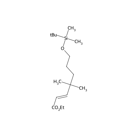 CCOC(=O)C=CC(C)(C)CCCO[Si](C)(C)C(C)(C)C